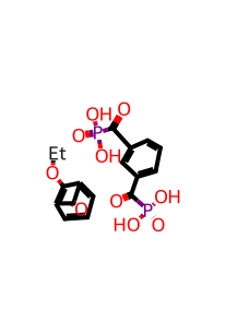 CCOc1c2cccc1C2=O.O=C(c1cccc(C(=O)P(=O)(O)O)c1)P(=O)(O)O